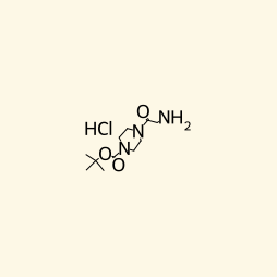 CC(C)(C)OC(=O)N1CCN(C(=O)CN)CC1.Cl